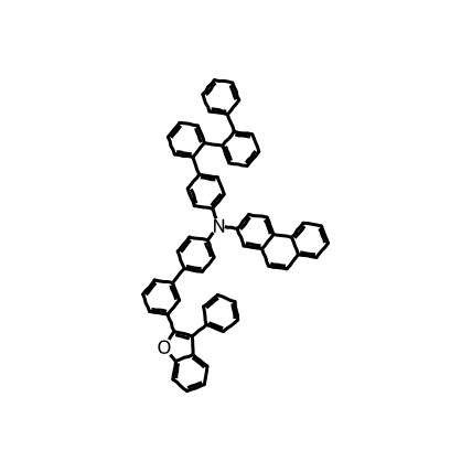 c1ccc(-c2ccccc2-c2ccccc2-c2ccc(N(c3ccc(-c4cccc(-c5oc6ccccc6c5-c5ccccc5)c4)cc3)c3ccc4c(ccc5ccccc54)c3)cc2)cc1